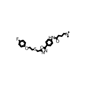 CN(C)CCCC(=O)Nc1ccc(-c2nnc(CSCCOc3ccc(F)cc3)o2)cc1